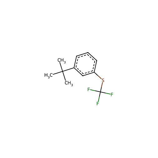 CC(C)(C)c1cccc(SC(F)(F)F)c1